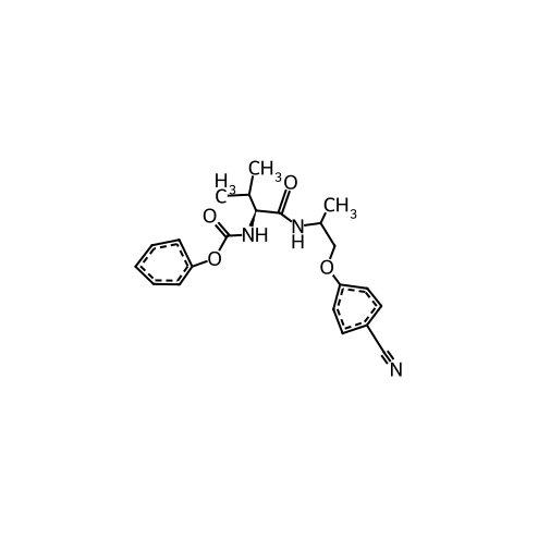 CC(COc1ccc(C#N)cc1)NC(=O)[C@@H](NC(=O)Oc1ccccc1)C(C)C